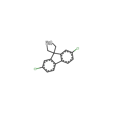 COCC1(COC)c2cc(Cl)ccc2-c2ccc(Cl)cc21